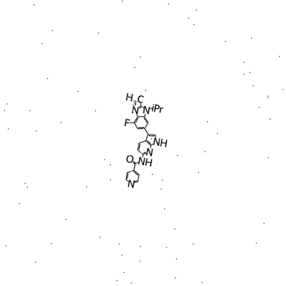 Cc1nc2c(F)cc(-c3c[nH]c4nc(NC(=O)c5ccncc5)ccc34)cc2n1C(C)C